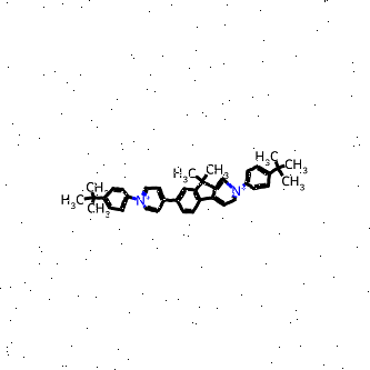 CC(C)(C)c1ccc(-[n+]2ccc(-c3ccc4c(c3)C(C)(C)c3c[n+](-c5ccc(C(C)(C)C)cc5)ccc3-4)cc2)cc1